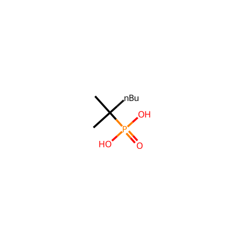 CCCCC(C)(C)P(=O)(O)O